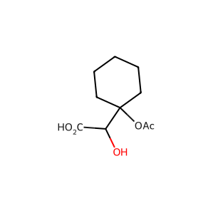 CC(=O)OC1(C(O)C(=O)O)CCCCC1